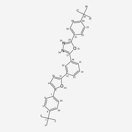 CC(C)(C)c1ccc(-c2ccc(-c3cccc(-c4nnc(-c5ccc(C(C)(C)C)cc5)o4)c3)o2)cc1